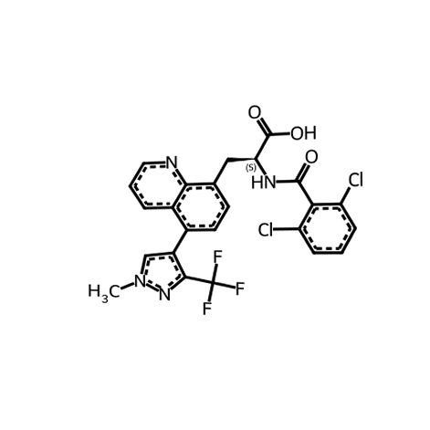 Cn1cc(-c2ccc(C[C@H](NC(=O)c3c(Cl)cccc3Cl)C(=O)O)c3ncccc23)c(C(F)(F)F)n1